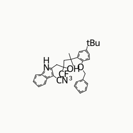 CC(C)(C)c1ccc(OCc2ccccc2)c(C(C)(C)CC(O)(Cc2[nH]c3ccccc3c2C#N)C(F)(F)F)c1